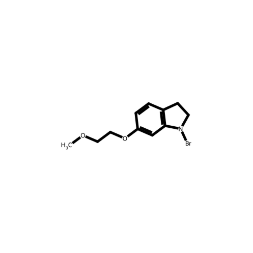 COCCOc1ccc2c(c1)N(Br)CC2